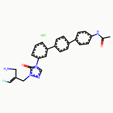 CC(=O)Nc1ccc(-c2ccc(-c3cccc(-n4cnn(C/C(=C/F)CN)c4=O)c3)cc2)cc1.Cl